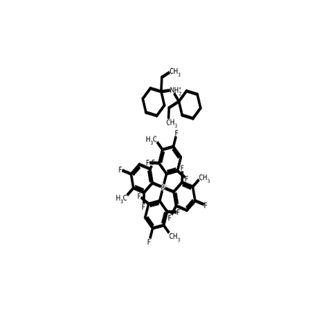 CCC1([NH2+]C2(CC)CCCCC2)CCCCC1.Cc1c(F)cc(F)c([B-](c2c(F)cc(F)c(C)c2F)(c2c(F)cc(F)c(C)c2F)c2c(F)cc(F)c(C)c2F)c1F